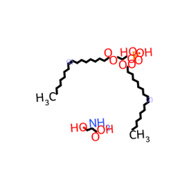 CCCCCCCC/C=C\CCCCCCCC(=O)OCC(COP(=O)(O)O)OC(=O)CCCCCCC/C=C\CCCCCCCC.NC(CO)C(=O)O